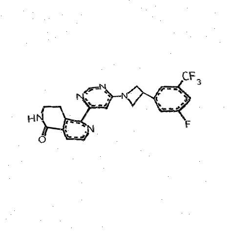 O=C1NCCc2c1ccnc2-c1cc(N2CC(c3cc(F)cc(C(F)(F)F)c3)C2)ncn1